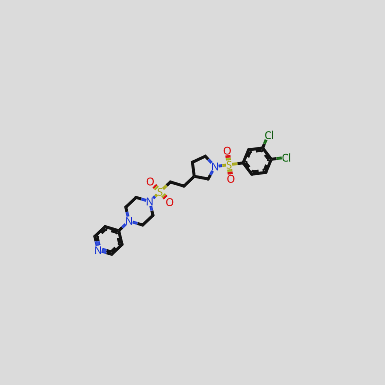 O=S(=O)(CCC1CCN(S(=O)(=O)c2ccc(Cl)c(Cl)c2)C1)N1CCN(c2ccncc2)CC1